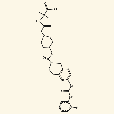 CC(C)(NC(=O)CC1CCC(OC(=O)N2CCc3cc(NC(=O)Nc4ccccc4F)ccc3C2)CC1)C(=O)O